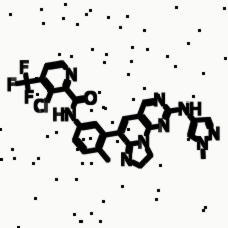 Cc1ccc(NC(=O)c2nccc(C(F)(F)F)c2Cl)cc1C1=Cc2cnc(Nc3cnn(C)c3)nc2N2CCN=C12